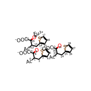 CC(=O)C(Cc1cccs1)C(=O)C(=O)[O-].CC(=O)C(Cc1cccs1)C(=O)C(=O)[O-].CC(=O)C(Cc1cccs1)C(=O)C(=O)[O-].[Eu+3]